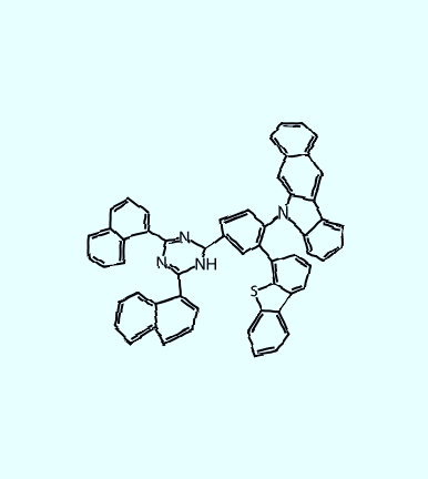 c1ccc2cc3c(cc2c1)c1ccccc1n3-c1ccc(C2N=C(c3cccc4ccccc34)N=C(c3cccc4ccccc34)N2)cc1-c1cccc2c1sc1ccccc12